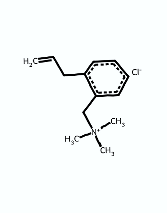 C=CCc1ccccc1C[N+](C)(C)C.[Cl-]